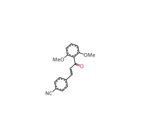 COc1cccc(OC)c1C(=O)/C=C/c1ccc(C#N)cc1